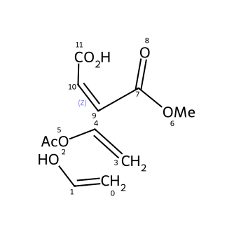 C=CO.C=COC(C)=O.COC(=O)/C=C\C(=O)O